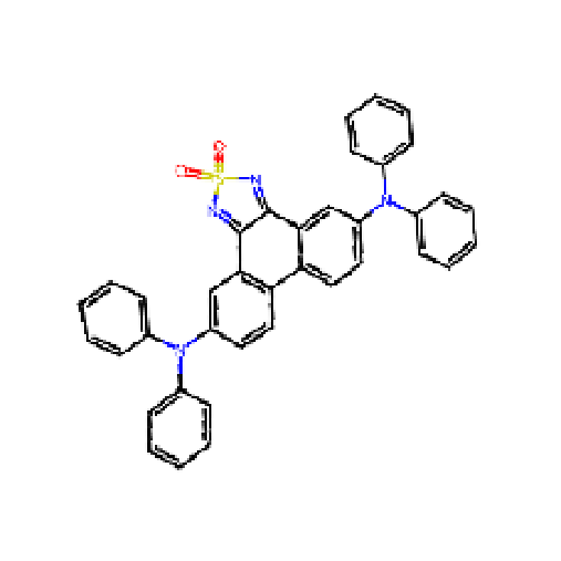 O=S1(=O)N=c2c(c3cc(N(c4ccccc4)c4ccccc4)ccc3c3ccc(N(c4ccccc4)c4ccccc4)cc23)=N1